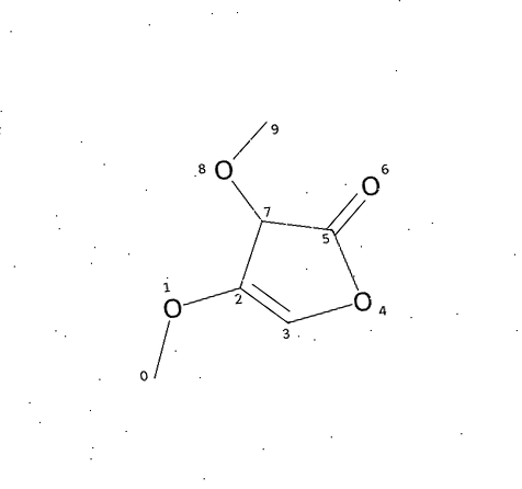 COC1=COC(=O)C1OC